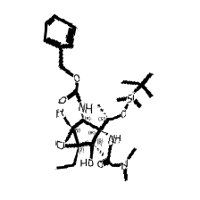 CC[C@@]12O[C@@H]1[C@H](NC(=O)OCc1ccccc1)[C@@](NC(=O)N(C)C)([C@H](C)O[Si](C)(C)C(C)(C)C)[C@@]2(C)O